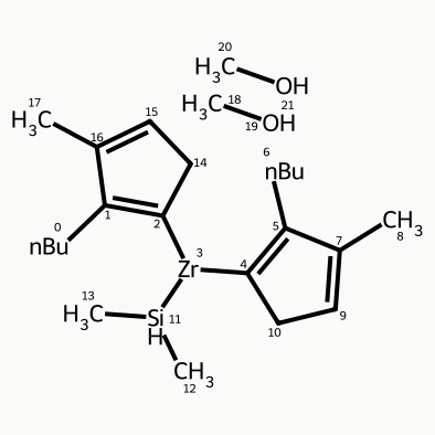 CCCCC1=[C]([Zr]([C]2=C(CCCC)C(C)=CC2)[SiH](C)C)CC=C1C.CO.CO